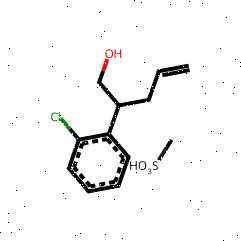 C=CCC(CO)c1ccccc1Cl.CS(=O)(=O)O